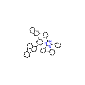 c1ccc(-c2nc(-c3cccc(-c4cc5ccccc5cc4-c4cccc(-c5ccc6c7c(cccc57)-c5ccccc5-6)c4)c3)nc(-c3ccccc3-c3ccccc3)n2)cc1